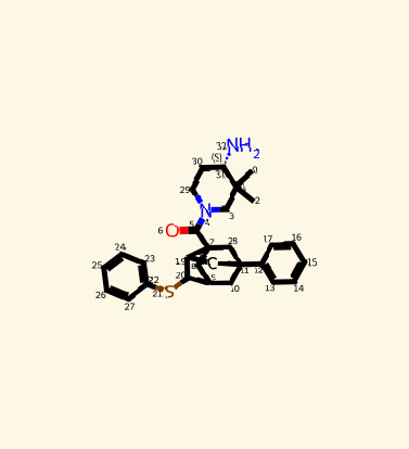 CC1(C)CN(C(=O)C23CC4CC(c5ccccc5)(CC2C4Sc2ccccc2)C3)CC[C@@H]1N